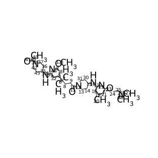 COc1cc(C(C)(C)CCC(=O)N2CCC(Nc3cc(C)cc(OCCN(C)C)n3)CC2)cc(NC2CCN(C(C)=O)CC2)n1